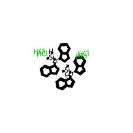 C[SiH](C)[Zr]([CH]1C=Cc2ccccc21)[CH]1C=Cc2ccccc21.C[SiH](C)[Zr]([CH]1CCC2CC=CC=C21)[CH]1CCC2CC=CC=C21.Cl.Cl.Cl.Cl